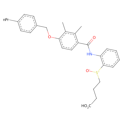 CCCc1ccc(COc2ccc(C(=O)Nc3ccccc3[S+]([O-])CCCC(=O)O)c(C)c2C)cc1